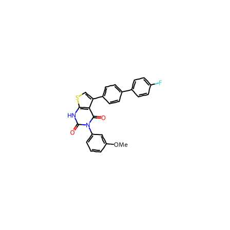 COc1cccc(-n2c(=O)[nH]c3scc(-c4ccc(-c5ccc(F)cc5)cc4)c3c2=O)c1